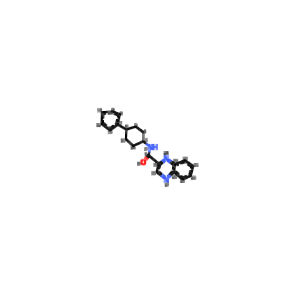 O=C(NC1CCC(c2ccccc2)CC1)c1cnc2ccccc2n1